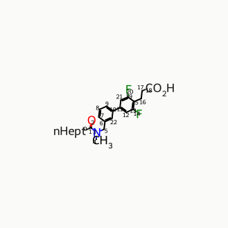 CCCCCCCC(=O)N(C)Cc1cccc(-c2cc(F)c(CCC(=O)O)c(F)c2)c1